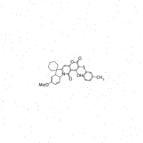 COC1=CC2C(C=C1)n1c(cc3oc(=O)c(Sc4cccc(C)c4)c(O)c3c1=O)C21CCCCC1